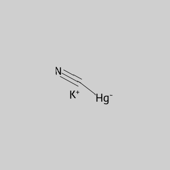 N#[C][Hg-].[K+]